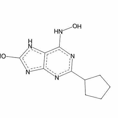 ONc1nc(C2CCCC2)nc2nc(O)[nH]c12